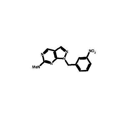 CNc1ncc2cnn(Cc3cccc([N+](=O)[O-])c3)c2n1